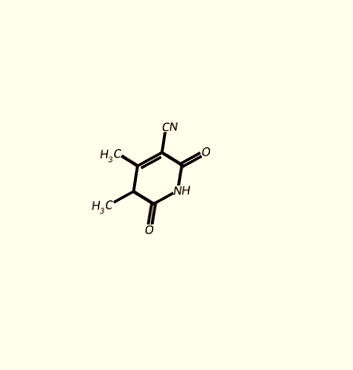 CC1=C(C#N)C(=O)NC(=O)C1C